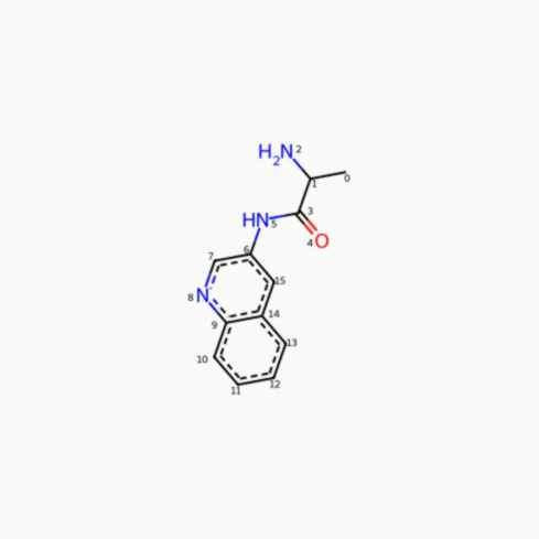 CC(N)C(=O)Nc1cnc2ccccc2c1